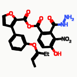 CC=C(CC)Oc1cccc(-c2ccoc2C(=O)OC(=O)c2ccc(O)c([N+](=O)[O-])c2C(=O)NN)c1